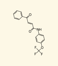 O=C(/C=C/C(=O)c1ccccc1)Nc1ccc(OC(F)(F)F)cc1